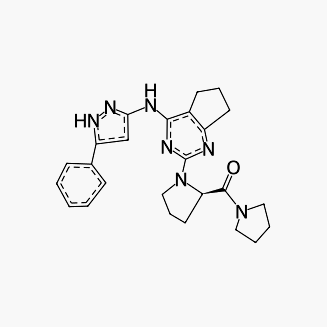 O=C([C@H]1CCCN1c1nc2c(c(Nc3cc(-c4ccccc4)[nH]n3)n1)CCC2)N1CCCC1